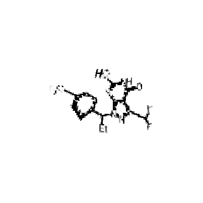 CCC(c1ccc(C(F)(F)F)cc1)n1nc(C(F)F)c2c(=O)[nH]c(O)nc21